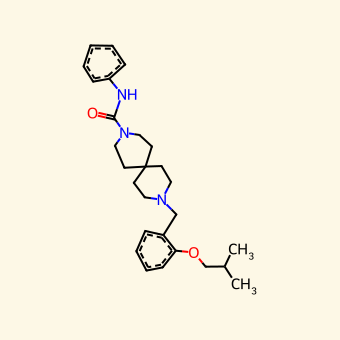 CC(C)COc1ccccc1CN1CCC2(CC1)CCN(C(=O)Nc1ccccc1)CC2